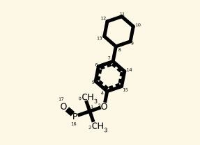 CC(C)(Oc1ccc(C2CCCCC2)cc1)P=O